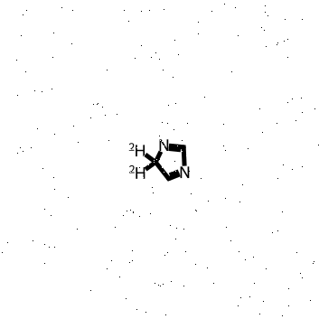 [2H]C1([2H])C=NC=N1